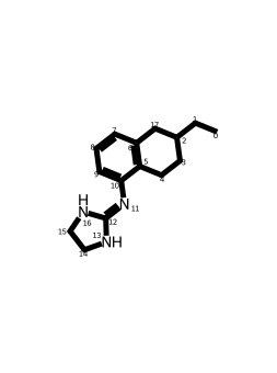 CCC1CCc2c(cccc2N=C2NCCN2)C1